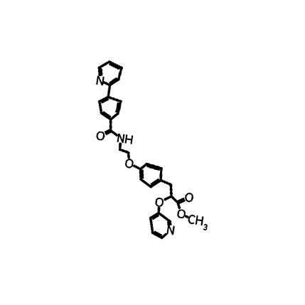 COC(=O)C(Cc1ccc(OCCNC(=O)c2ccc(-c3ccccn3)cc2)cc1)Oc1cccnc1